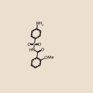 COc1ccccc1C(=O)NS(=O)(=O)c1ccc(N)cc1